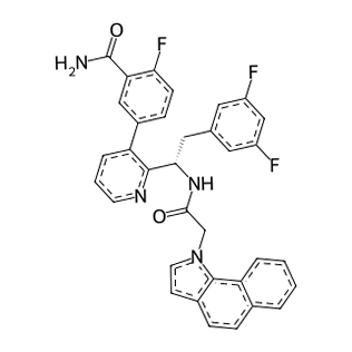 NC(=O)c1cc(-c2cccnc2[C@H](Cc2cc(F)cc(F)c2)NC(=O)Cn2ccc3ccc4ccccc4c32)ccc1F